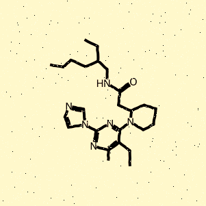 CCCCC(CC)CNC(=O)CC1CCCCN1c1nc(-n2ccnc2)nc(C)c1CC